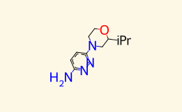 CC(C)C1CN(c2ccc(N)nn2)CCO1